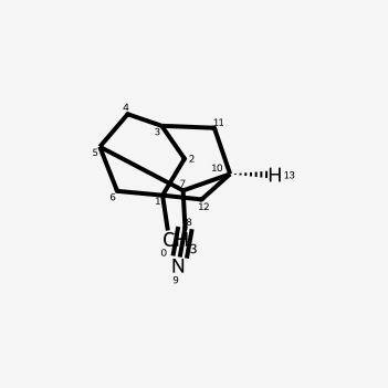 CC12CC3CC(C1)C(C#N)[C@@H](C3)C2